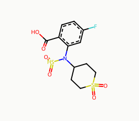 O=C(O)c1ccc(F)cc1N(C1CCS(=O)(=O)CC1)[SH](=O)=O